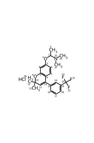 CC(Oc1ccc2c(c1)OC(C)(C)C=C2c1cccc(C(F)(F)F)c1)N(C)C.Cl